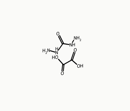 NNC(=O)NN.O=C(O)C(=O)O